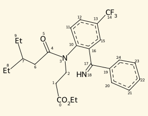 CCOC(=O)CCN(C(=O)CC(CC)CC)c1ccc(C(F)(F)F)cc1C(=N)c1ccccc1